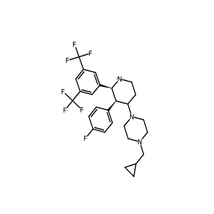 Fc1ccc([C@@H]2C(N3CCN(CC4CC4)CC3)CC[N][C@@H]2c2cc(C(F)(F)F)cc(C(F)(F)F)c2)cc1